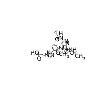 CCONC(=O)c1nnc(NC(=O)C2CC2)cc1Nc1cccc(-c2ncn(CCC(=O)O)n2)c1OC